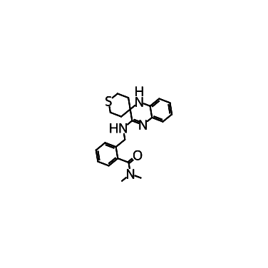 CN(C)C(=O)c1ccccc1CNC1=Nc2ccccc2NC12CCSCC2